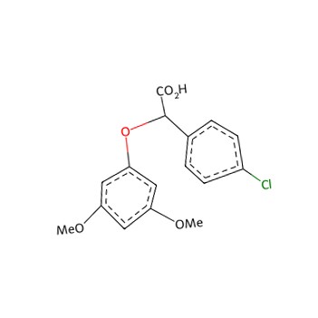 COc1cc(OC)cc(OC(C(=O)O)c2ccc(Cl)cc2)c1